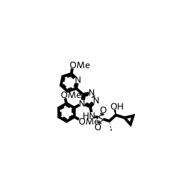 COc1cccc(-c2nnc(NS(=O)(=O)[C@@H](C)[C@@H](O)C3CC3)n2-c2c(OC)cccc2OC)n1